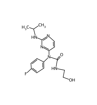 CC(C)Nc1nccc(N(C(=O)NCCO)c2ccc(F)cc2)n1